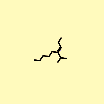 CC/C=C(\CCCCC)C(C)C